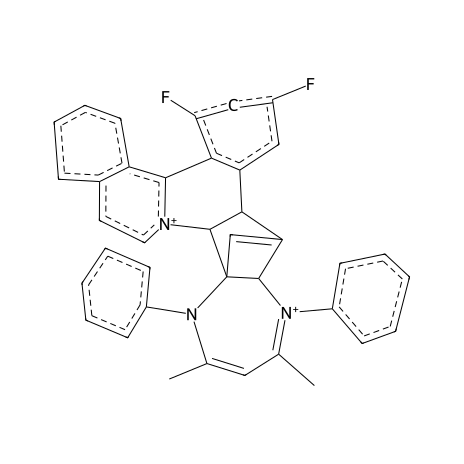 CC1=CC(C)=[N+](c2ccccc2)C2C3=CC2(C2C3c3cc(F)cc(F)c3-c3c4ccccc4cc[n+]32)N1c1ccccc1